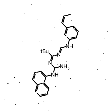 C/C=C\c1cccc(N/C=N/C(=N\C(N)Nc2cccc3ccccc23)C(C)(C)C)c1